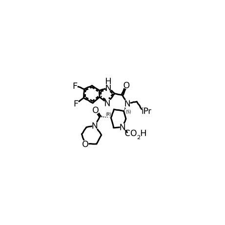 CC(C)CN(C(=O)c1nc2cc(F)c(F)cc2[nH]1)[C@H]1C[C@@H](C(=O)N2CCOCC2)CN(C(=O)O)C1